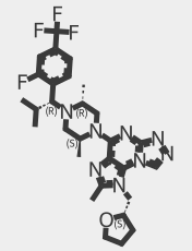 Cc1nc2c(N3C[C@@H](C)N([C@@H](c4ccc(C(F)(F)F)cc4F)C(C)C)C[C@@H]3C)nc3nncn3c2n1C[C@@H]1CCCO1